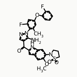 COc1cc2cc(C(=O)c3cnn(-c4c(C)cc(Oc5ccccc5F)cc4F)c3N)[nH]c2cc1N1CCCS1(=O)=O